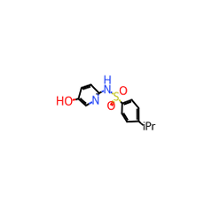 CC(C)c1ccc(S(=O)(=O)Nc2ccc(O)cn2)cc1